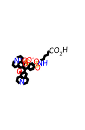 O=C(O)CCCCCNS(=O)(=O)c1ccc(C2=c3cc4c5c(c3Oc3c2cc2c6c3CCCN6CCC2)CCC[N+]=5CCC4)c(S(=O)(=O)[O-])c1